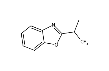 CC(c1nc2ccccc2o1)C(F)(F)F